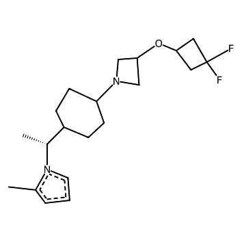 Cc1cccn1[C@H](C)C1CCC(N2CC(OC3CC(F)(F)C3)C2)CC1